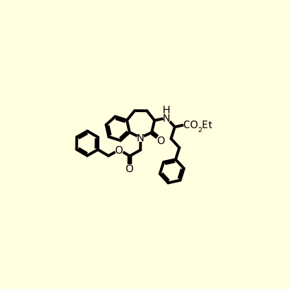 CCOC(=O)C(CCc1ccccc1)NC1CCc2ccccc2N(CC(=O)OCc2ccccc2)C1=O